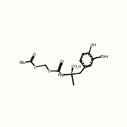 CC(C)(C)C(=O)OCOC(=O)N[C@@](C)(Cc1ccc(O)c(O)c1)C(=O)O